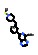 C\C=C/C(=C\C=C\C1CCN(SCC)CC1)c1cc2nccnc2c(NC)n1